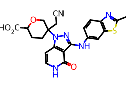 Cc1nc2ccc(Nc3nn(C4(CC#N)CCC(C(=O)O)OC4)c4cc[nH]c(=O)c34)cc2s1